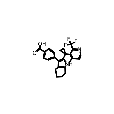 O=C(O)c1ccc(-c2c(C3(c4c(Cl)ccnc4C(F)(F)F)CC3)[nH]c3c2CCCC3)cc1